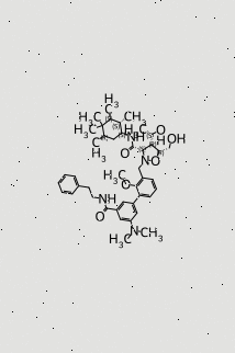 COc1c(CN2O[C@@H](CO)[C@@H]([C@H](C)O)[C@H]2C(=O)N[C@H]2C[C@@H](C)C(C)(C)[C@@H](C)[C@@H]2C)cccc1-c1cc(C(=O)NCCc2ccccc2)cc(N(C)C)c1